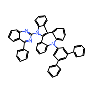 c1ccc(-c2cc(-c3ccccc3)cc(N3c4ccccc4-c4c(n(-c5nc(-c6ccccc6)c6ccccc6n5)c5ccccc45)-c4ccccc43)c2)cc1